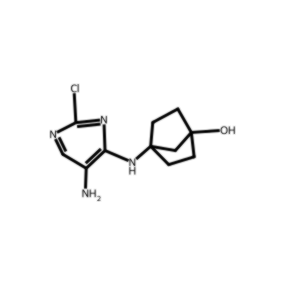 Nc1cnc(Cl)nc1NC12CCC(O)(CC1)C2